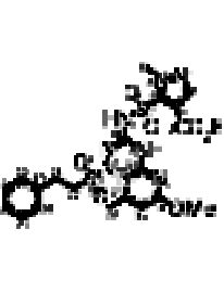 CCOC(=O)c1cnn(C)c1S(=O)(=O)NC(=NNS(=O)(=O)CCc1ccccc1)Nc1nc(C)cc(OC)n1